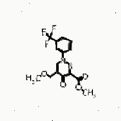 COCc1cn(-c2cccc(C(F)(F)F)c2)nc(C(=O)OC)c1=O